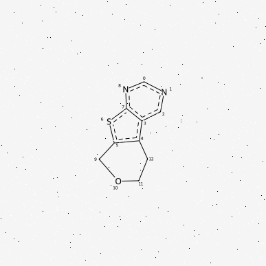 c1ncc2c3c(sc2n1)COCC3